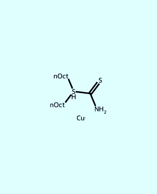 CCCCCCCC[SH](CCCCCCCC)C(N)=S.[Cu]